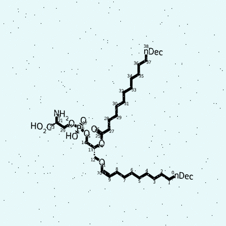 CCCCCCCCCCCCCCCCCC/C=C\OC[C@H](COP(=O)(O)OC[C@H](N)C(=O)O)OC(=O)CCCCCCCCCCCCCCCCCCCCC